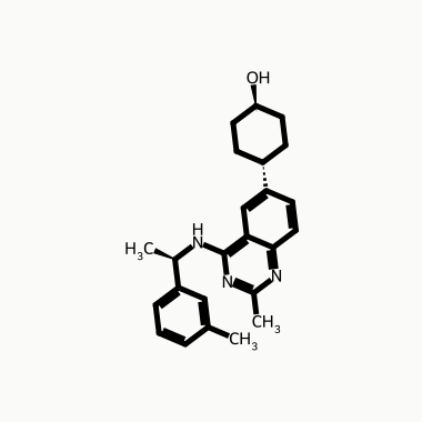 Cc1cccc([C@@H](C)Nc2nc(C)nc3ccc([C@H]4CC[C@H](O)CC4)cc23)c1